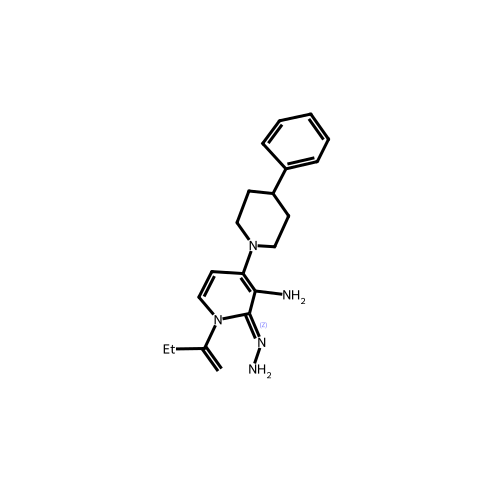 C=C(CC)n1ccc(N2CCC(c3ccccc3)CC2)c(N)/c1=N/N